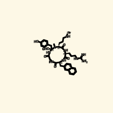 CC(C)NCCC[C@@H]1C(=O)N[C@@H](CCCNC(=N)N)C(=O)N[C@@H](Cc2ccc3ccccc3c2)C(=O)NCC(=O)N[C@](C=O)(Cc2ccc(O)cc2)N1C